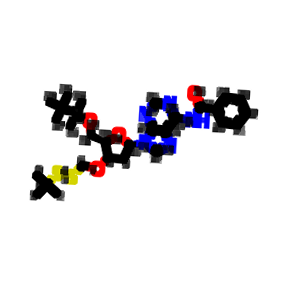 CC(C)(C)SSCOC1C[C@H](n2cnc3c(NC(=O)c4ccccc4)ncnc32)O[C@@H]1CO[Si](C)(C)C(C)(C)C